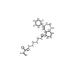 C=C(C)C(=O)OCCCCCCOc1cccc2c1C=C(c1ccccc1)CCC2